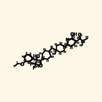 CCOc1cccc(C(O)(C(=O)N2CCC(CC3(C)CCN(c4ccc(C(=O)N(C)C)c(O)n4)CC3)CC2)C(F)(F)F)c1